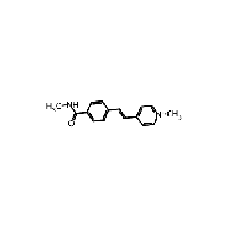 CNC(=O)c1ccc(C=Cc2cc[n+](C)cc2)cc1